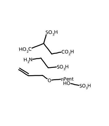 C=CCOCCCCC.NCCS(=O)(=O)O.O=C(O)CC(C(=O)O)S(=O)(=O)O.O=S(=O)(O)O